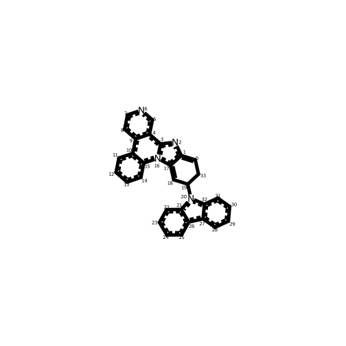 C1=c2nc3c4cnccc4c4ccccc4n3c2=CC(n2c3ccccc3c3ccccc32)C1